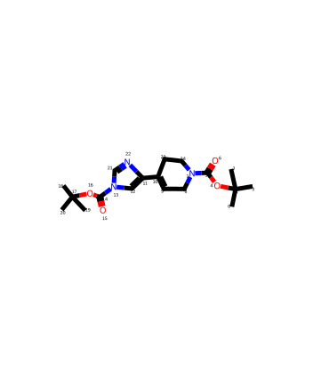 CC(C)(C)OC(=O)N1CC=C(c2cn(C(=O)OC(C)(C)C)cn2)CC1